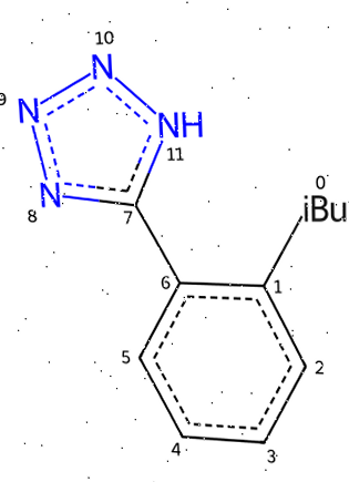 CCC(C)c1ccccc1-c1nnn[nH]1